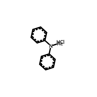 CC(=O)N(c1ccccc1)c1ccccc1.Cl